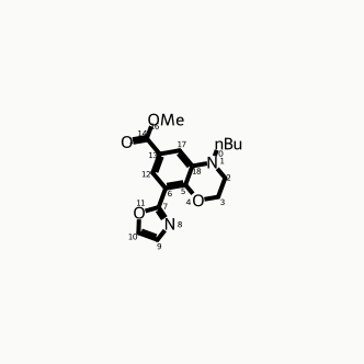 CCCCN1CCOc2c(-c3ncco3)cc(C(=O)OC)cc21